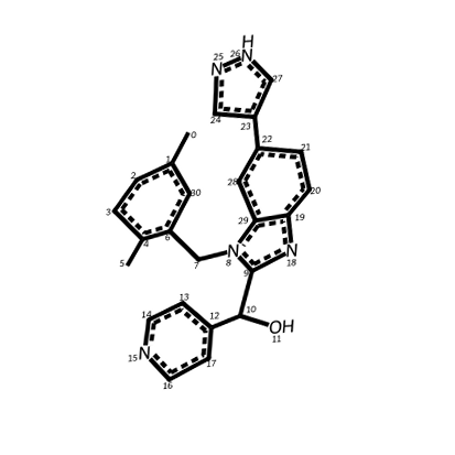 Cc1ccc(C)c(Cn2c(C(O)c3ccncc3)nc3ccc(-c4cn[nH]c4)cc32)c1